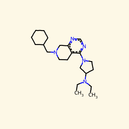 CCN(CC)C1CCN(c2ncnc3c2CCN(CC2CCCCC2)C3)C1